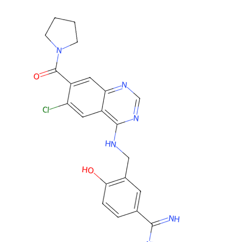 N=C(N)c1ccc(O)c(CNc2ncnc3cc(C(=O)N4CCCC4)c(Cl)cc23)c1